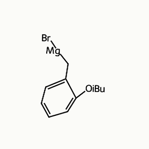 CC(C)COc1ccccc1[CH2][Mg][Br]